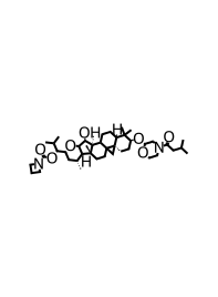 CC(C)CC(=O)N1CCO[C@@H](O[C@H]2CC[C@]34CC35CC[C@]3(C)[C@@H]6C(OC([C@H](OC(=O)N7CCC7)C(C)C)C[C@H]6C)[C@H](O)[C@@]3(C)C5CC[C@H]4C2(C)C)C1